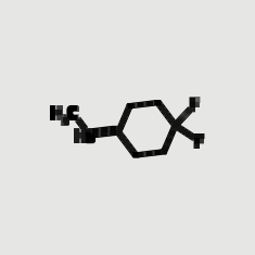 C[SH]=C1CCC(F)(F)CC1